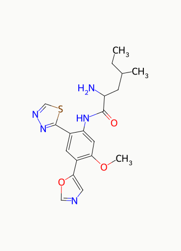 CCC(C)CC(N)C(=O)Nc1cc(OC)c(-c2cnco2)cc1-c1nncs1